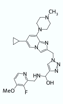 COc1ccnc(CNC(O)c2cn(Cc3cn4cc(C5CC5)cc(N5CCN(C)CC5)c4n3)nn2)c1F